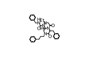 CCN1CC(=O)N2[C@@H](Cc3ccccc3)C(=O)N(CCCc3ccccc3)C[C@@H]2N1C(=O)NCc1ccccc1